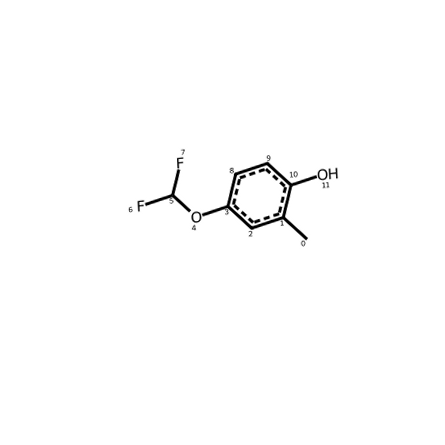 Cc1cc(OC(F)F)ccc1O